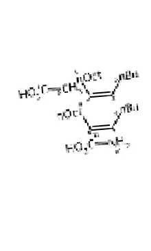 CC(=O)O.CCCC/C=C\CCCCCCCC.CCCC/C=C\CCCCCCCC.NC(=O)O